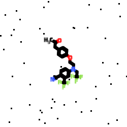 CC(=O)Cc1ccc(OCCN(CC(F)(F)F)c2ccc(C#N)c(C(F)(F)F)c2)cc1